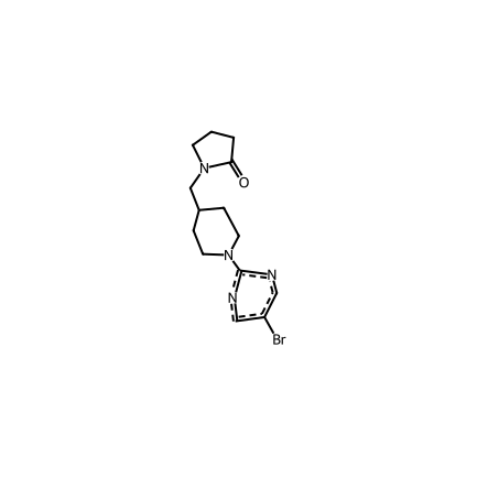 O=C1CCCN1CC1CCN(c2ncc(Br)cn2)CC1